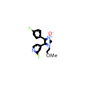 COCCn1c[n+]([O-])c(-c2ccc(F)cc2)c1-c1ccnc(F)c1